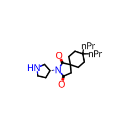 CCCC1(CCC)CCC2(CC1)CC(=O)N([C@@H]1CCNC1)C2=O